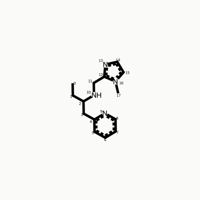 CCC(Cc1ccccn1)NCc1nccn1C